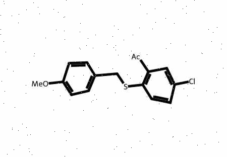 COc1ccc(CSc2ccc(Cl)cc2C(C)=O)cc1